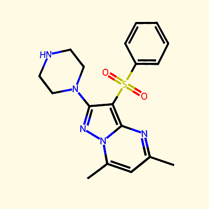 Cc1cc(C)n2nc(N3CCNCC3)c(S(=O)(=O)c3ccccc3)c2n1